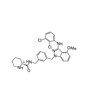 COc1cccc2c1c(Nc1cccc(Cl)c1Cl)nn2Cc1cccc(CNC(=O)[C@@H]2CCCCN2)c1